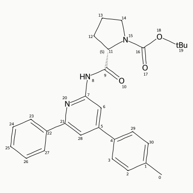 Cc1ccc(-c2cc(NC(=O)[C@@H]3CCCN3C(=O)OC(C)(C)C)nc(-c3ccccc3)c2)cc1